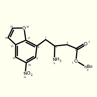 CCCCOC(=O)CC(N)Cc1cc([N+](=O)[O-])cc2ccoc12